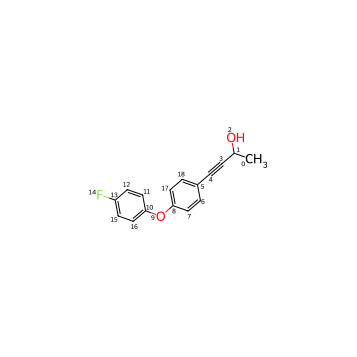 CC(O)C#Cc1ccc(Oc2ccc(F)cc2)cc1